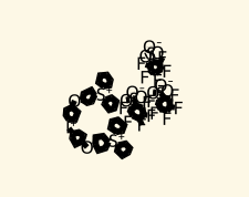 O=S(=O)([O-])c1c(F)c(F)c(F)c(F)c1F.O=S(=O)([O-])c1c(F)c(F)c(F)c(F)c1F.O=S(=O)([O-])c1c(F)c(F)c(F)c(F)c1F.c1ccc([S+](c2ccccc2)c2ccc(Oc3ccc([I+]c4ccc(Oc5ccc([S+](c6ccccc6)c6ccccc6)cc5)cc4)cc3)cc2)cc1